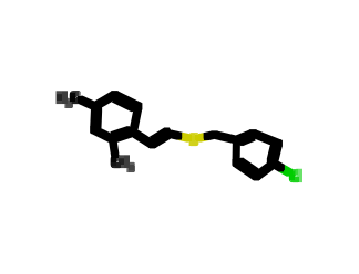 Cc1ccc(C=CSCc2ccc(Cl)cc2)c(C)c1